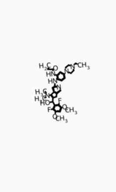 C=CC(=O)Nc1cc(N2CCN(CC)CC2)ccc1Nc1cc2c(cn1)CC(C(O)c1c(F)c(OC)cc(OC)c1F)=C2N(C)C